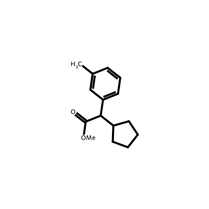 COC(=O)C(c1cccc(C)c1)C1CCCC1